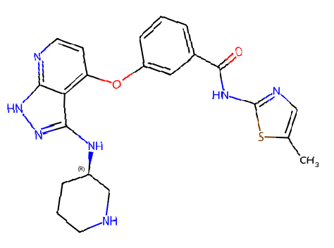 Cc1cnc(NC(=O)c2cccc(Oc3ccnc4[nH]nc(N[C@@H]5CCCNC5)c34)c2)s1